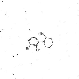 CCCCC1CCCCN1c1cccc(Br)[n+]1[O-]